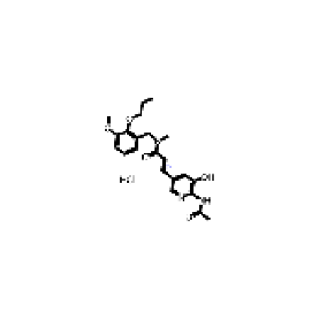 CCCOc1c(CN(C)C(=O)/C=C/c2cnc(NC(C)=O)c(O)c2)cccc1OC.Cl